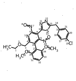 CCOCc1nc(N=O)c(-c2nnc(Cc3ccc(Cl)cc3)s2)c(N=O)c1-c1c(OC)cccc1OC